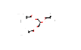 C=C(C)C(=O)OCC(COC(=O)C(=C)C)OC(=O)C(=C)C(=O)O